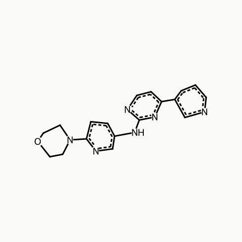 c1cncc(-c2ccnc(Nc3ccc(N4CCOCC4)nc3)n2)c1